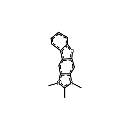 Cc1n(C)c2cc3oc4ccccc4c3cc2[n+]1C